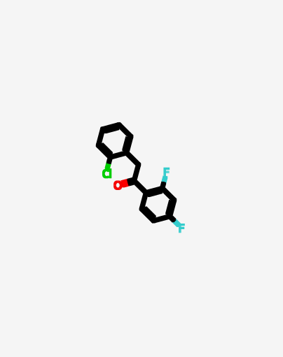 O=C(Cc1ccccc1Cl)c1ccc(F)cc1F